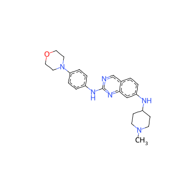 CN1CCC(Nc2ccc3cnc(Nc4ccc(N5CCOCC5)cc4)nc3c2)CC1